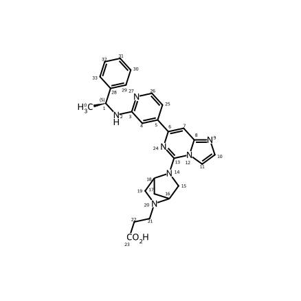 C[C@H](Nc1cc(-c2cc3nccn3c(N3CC4CC3CN4CCC(=O)O)n2)ccn1)c1ccccc1